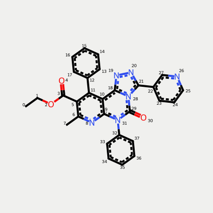 CCOC(=O)c1c(C)nc2c(c1-c1ccccc1)c1nnc(-c3cccnc3)n1c(=O)n2-c1ccccc1